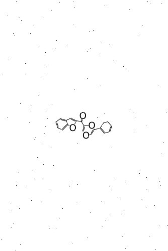 O=C(C1=COC=C(C2=CC=CCC2)O1)c1cc2ccccc2o1